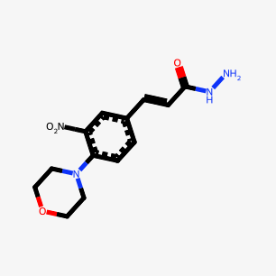 NNC(=O)C=Cc1ccc(N2CCOCC2)c([N+](=O)[O-])c1